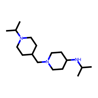 CC(C)NC1CCN(CC2CCN(C(C)C)CC2)CC1